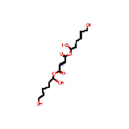 O=C(/C=C/C(=O)OC(O)CCCCCO)OC(O)CCCCCO